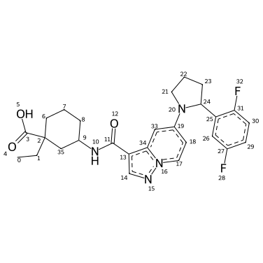 CCC1(C(=O)O)CCCC(NC(=O)c2cnn3ccc(N4CCCC4c4cc(F)ccc4F)cc23)C1